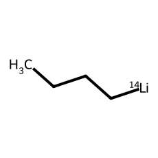 [14Li][CH2]CCC